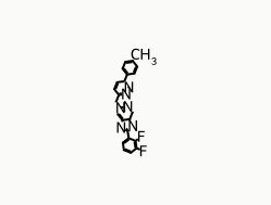 Cc1ccc(-c2ccc(Cn3cc4nc(-c5cccc(F)c5F)nc-4cn3)nn2)cc1